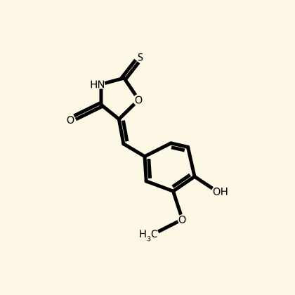 COc1cc(/C=C2\OC(=S)NC2=O)ccc1O